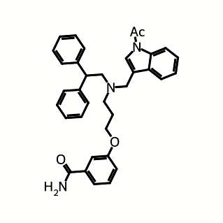 CC(=O)n1cc(CN(CCCOc2cccc(C(N)=O)c2)CC(c2ccccc2)c2ccccc2)c2ccccc21